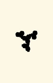 Cc1ccc(C(=CC=Cc2ccc(N(c3ccc(C=CC=C(c4ccccc4)c4ccccc4)cc3)c3ccc(C=CC=C(c4ccccc4)c4ccccc4)cc3)cc2)c2ccc(C)cc2)cc1